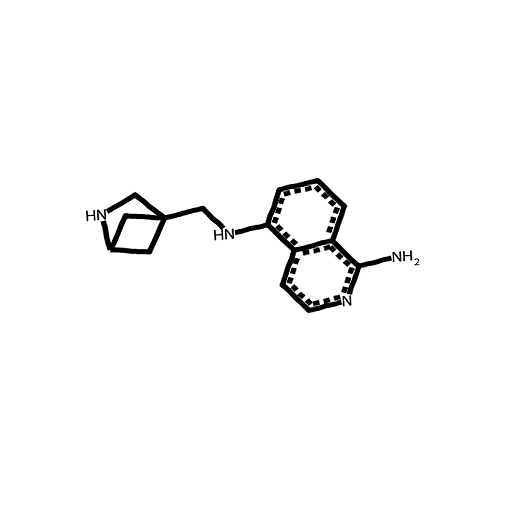 Nc1nccc2c(NCC34CNC(C3)C4)cccc12